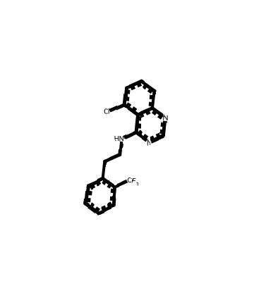 FC(F)(F)c1ccccc1CCNc1ncnc2cccc(Cl)c12